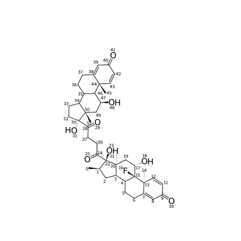 C[C@@H]1CC2C3CCC4=CC(=O)C=C[C@]4(C)[C@@]3(F)[C@@H](O)C[C@]2(C)[C@@]1(O)C(=O)[CH]CC(=O)[C@@]1(O)CCC2C3CCC4=CC(=O)C=C[C@]4(C)C3[C@@H](O)C[C@@]21C